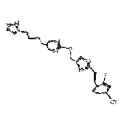 Fc1cc(Cl)ccc1/C=C/c1nc(COc2ncc(CCCCn3ccnn3)cn2)co1